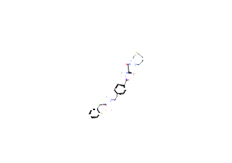 O=C(NCc1ccc(-c2nc(C(=O)N3CCCC(F)(F)C3)co2)cc1)C(F)c1ccccc1F